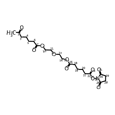 CC(=O)CCCCC(=O)OCCOCCOC(=O)CCCCC(=O)ON1C(=O)CCC1=O